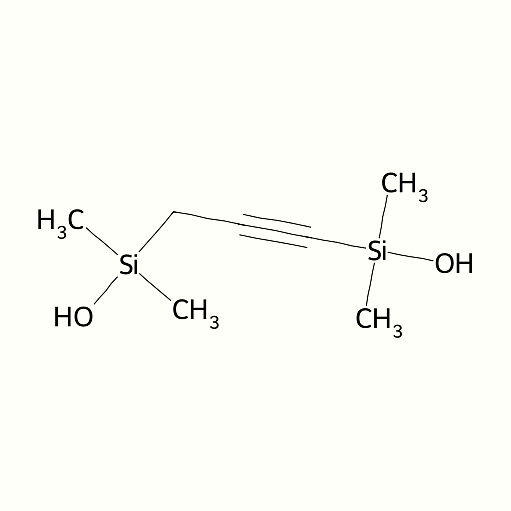 C[Si](C)(O)C#CC[Si](C)(C)O